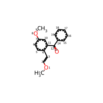 COC=Cc1ccc(OC)cc1C(=O)c1ccccc1